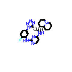 Cc1nnnn1-c1ccc(F)c(Nc2nccc(NC[C@@H]3CCCN4CCCC[C@H]34)n2)c1